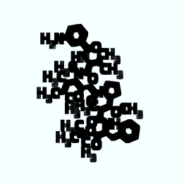 CC[C@H](C)[C@@H]([C@@H](CC(=O)N1CCC[C@H]1[C@H](OC)[C@@H](C)C(=O)N[C@@H](Cc1ccccc1)C(=O)OC(C)(C)C)OC)N(C)C(=O)[C@@H](NC(=O)c1cccc(N)c1)C(C)C